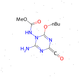 CCCCOC1=NC(=C=O)N=C(N)N1NC(=O)OC